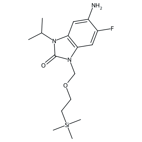 CC(C)n1c(=O)n(COCC[Si](C)(C)C)c2cc(F)c(N)cc21